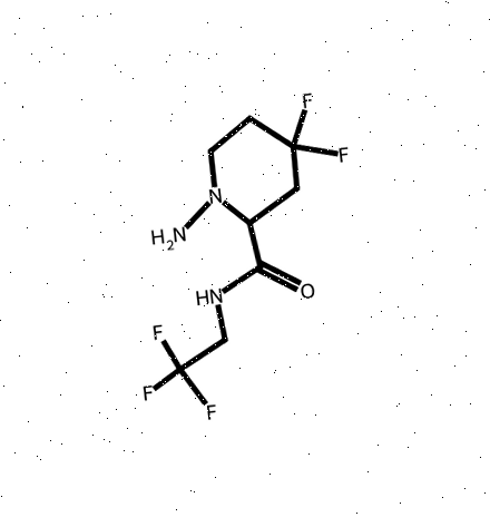 NN1CCC(F)(F)CC1C(=O)NCC(F)(F)F